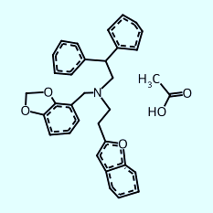 CC(=O)O.c1ccc(C(CN(CCc2cc3ccccc3o2)Cc2cccc3c2OCO3)c2ccccc2)cc1